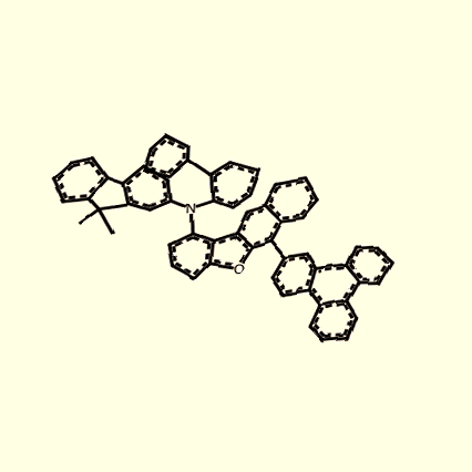 CC1(C)c2ccccc2-c2ccc(N(c3ccccc3-c3ccccc3)c3cccc4oc5c(-c6ccc7c8ccccc8c8ccccc8c7c6)c6ccccc6cc5c34)cc21